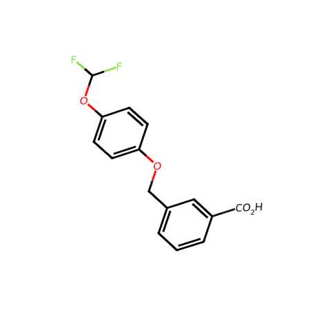 O=C(O)c1cccc(COc2ccc(OC(F)F)cc2)c1